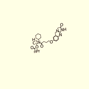 CCCC(=O)OC(C)N(C(=O)CCCOc1ccc2c(c1)CN1CC(=O)NC1=N2)C1CCCCC1